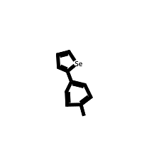 Cc1ccc(-c2ccc[se]2)cc1